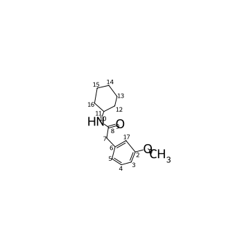 COc1cccc(CC(=O)NC2CCCCC2)c1